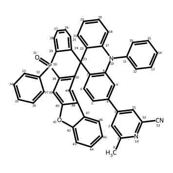 Cc1cc(-c2ccc3c(c2)N(c2ccccc2)c2ccccc2C32c3ccccc3P(=O)(c3ccccc3)c3cc4oc5ccccc5c4cc32)cc(C#N)n1